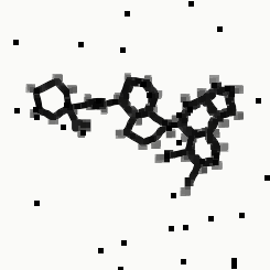 OC1(C#Cc2cccc3c2CCCN3c2nc3nncn3c3ccc(F)c(F)c23)CCCCC1